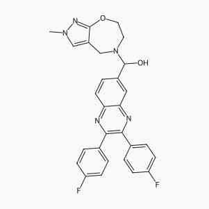 Cn1cc2c(n1)OCCN(C(O)c1ccc3nc(-c4ccc(F)cc4)c(-c4ccc(F)cc4)nc3c1)C2